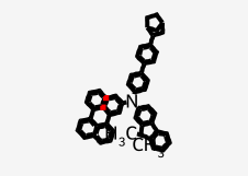 CC1(C)c2ccccc2-c2ccc(N(c3ccc(-c4ccc(C5CC6CCC5C6)cc4)cc3)c3cccc(-c4cccc5cccc(-c6ccccc6)c45)c3)cc21